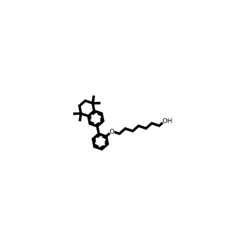 CC1(C)CCC(C)(C)c2cc(-c3ccccc3OCCCCCCCO)ccc21